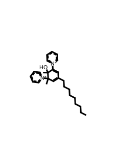 CCCCCCCCCC1=CC(C)([n+]2ccccc2)C(C)(O)C([n+]2ccccc2)=C1